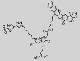 CCCN(CCC)CCCC[C@H](NC[C@@H](NCCCCCCn1cc(-c2cnc(S(C)(=O)=O)nc2)nn1)C(C)C)C(=O)NCC(=O)NCOC/C=C/c1c2c(nc3cc4c(cc13)OCO4)-c1cc3c(c(=O)n1C2)COC(=O)[C@]3(O)CC